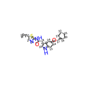 CC(C)c1cnc(NC(=O)Cc2c[nH]c3ccc(OCc4ccccc4)cc23)s1